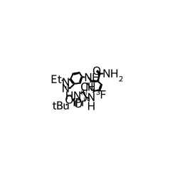 CCn1ncc2cc(Nc3nc(N[C@H](C(C)C)[C@H](C)NC(=O)OC(C)(C)C)c(F)cc3C(N)=O)ccc21